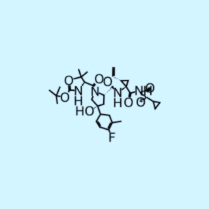 C=C[C@@H]1C[C@]1(NC(=O)[C@@H]1C[C@@](O)(C2C=CC(F)=C(C)C2)CN1C(=O)[C@@H](NC(=O)OC(C)(C)C)C(C)(C)C)C(=O)NS(=O)(=O)C1CC1